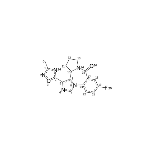 Cc1noc(-c2ncn3c2C2CCCN2C(=O)c2cc(F)ccc2-3)n1